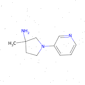 CC1(N)CCN(c2cccnc2)C1